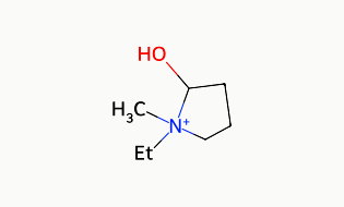 CC[N+]1(C)CCCC1O